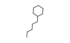 [CH2]CC[CH]CC1CCCCC1